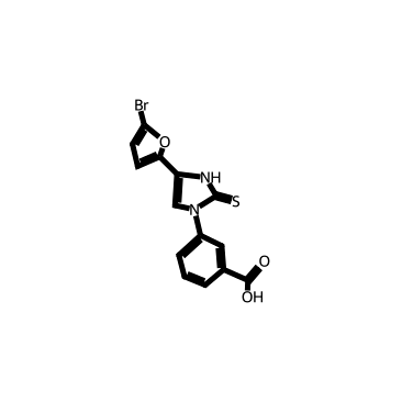 O=C(O)c1cccc(-n2cc(-c3ccc(Br)o3)[nH]c2=S)c1